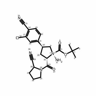 CC(C)(C)OC(=O)[N@+]1(N)C[C@H](c2ccc(C#N)c(Cl)c2)C[C@H]1C(=O)N1CCCC1C#N